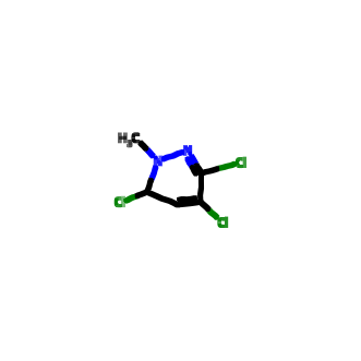 CN1N=C(Cl)C(Cl)=CC1Cl